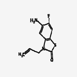 C=CCn1c(=O)sc2cc(F)c(N)cc21